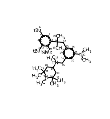 CNc1c(C(C)(C)C)cc(C(C)(C)C)cc1C(C)(C)Cc1cc(CN(C)C2CC(C)(C)N(C)C(C)(C)C2)cc(N(C)C)c1